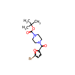 CC(C)(C)OC(=O)N1CCN(C(=O)c2ccc(Br)o2)CC1